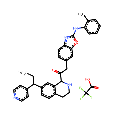 CCOC(=O)CC(c1ccncc1)c1ccc2c(c1)C(C(=O)Cc1ccc3nc(Nc4ccccc4C)oc3c1)NCC2.O=C(O)C(F)(F)F